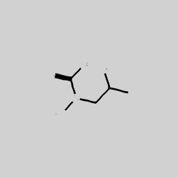 CCCCN(CC(C)O)C(N)=O